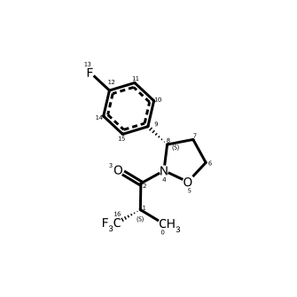 C[C@@H](C(=O)N1OCC[C@H]1c1ccc(F)cc1)C(F)(F)F